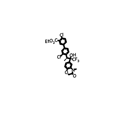 CCOC(=O)c1cc(-c2ccc([C@H](C)[C@](O)(c3ccc4c(c3)N(C)C(=O)CO4)C(F)(F)F)c(Cl)c2)ccc1Cl